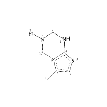 CCN1CNc2scc(C)c2C1